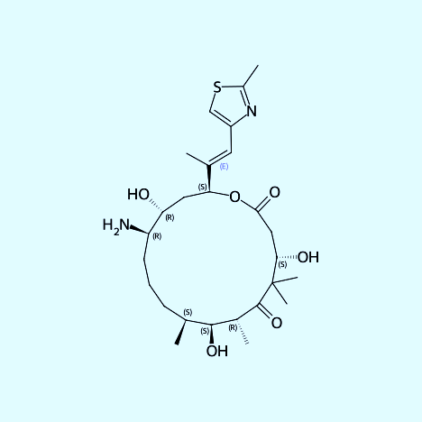 C/C(=C\c1csc(C)n1)[C@@H]1C[C@@H](O)[C@H](N)CCC[C@H](C)[C@H](O)[C@@H](C)C(=O)C(C)(C)[C@@H](O)CC(=O)O1